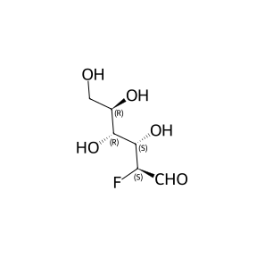 O=C[C@@H](F)[C@@H](O)[C@H](O)[C@H](O)CO